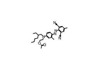 CCCCC(CC)CN(CCOC(C)=O)c1ccc(N=Nc2c(C#N)cc(C)cc2C#N)c(C)c1